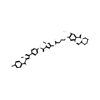 COc1cc2c(cc1OCCCC(=O)Nc1cc(C(=O)Nc3ccc(-c4cc(C(=O)c5ccc(C)cc5)n(C)c4)cc3)n(C)c1)N=C[C@@H]1CCCCN1C2=O